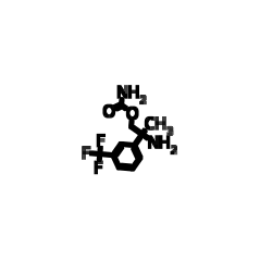 CC(N)(COC(N)=O)c1cccc(C(F)(F)F)c1